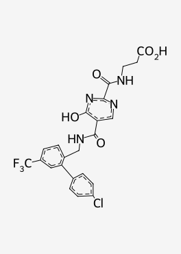 O=C(O)CCNC(=O)c1ncc(C(=O)NCc2ccc(C(F)(F)F)cc2-c2ccc(Cl)cc2)c(O)n1